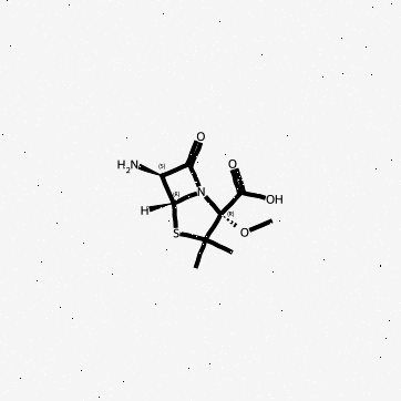 CO[C@@]1(C(=O)O)N2C(=O)[C@H](N)[C@H]2SC1(C)C